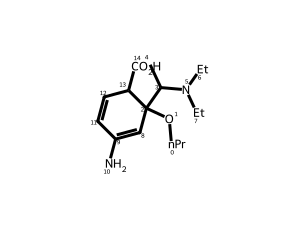 CCCOC1(C(C)N(CC)CC)C=C(N)C=CC1C(=O)O